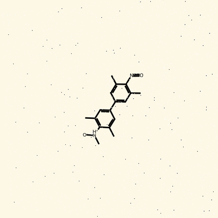 Cc1cc(-c2cc(C)c([NH+](C)[O-])c(C)c2)cc(C)c1N=O